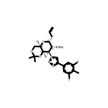 C=CC[C@H]1O[C@@H]2COC(C)(C)O[C@@H]2[C@H](n2cc(-c3cc(F)c(C)c(F)c3)nn2)[C@H]1OC